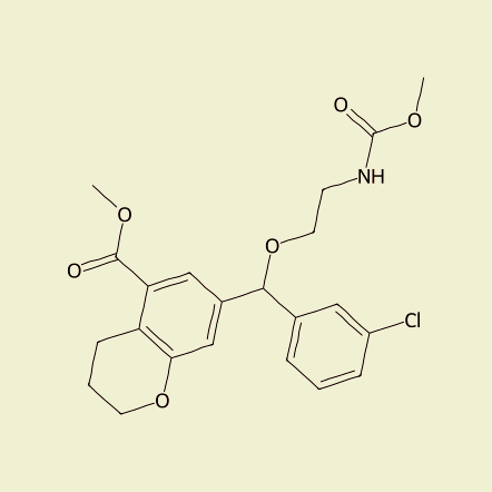 COC(=O)NCCOC(c1cccc(Cl)c1)c1cc2c(c(C(=O)OC)c1)CCCO2